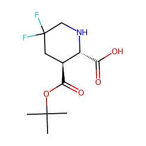 CC(C)(C)OC(=O)[C@H]1CC(F)(F)CN[C@@H]1C(=O)O